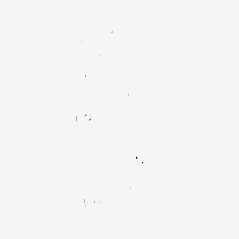 CN1C[C@H](O)C[C@H](NC(=O)OC(C)(C)C)C1